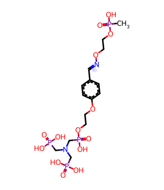 CP(=O)(O)OCCO/N=C/c1ccc(OCCOP(=O)(O)CN(CP(=O)(O)O)CP(=O)(O)O)cc1